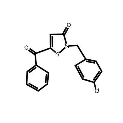 O=C(c1ccccc1)c1cc(=O)n(Cc2ccc(Cl)cc2)s1